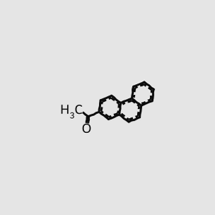 CC(=O)c1ccc2c(ccc3ccccc32)c1